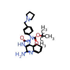 CC(C)(C)OC(=O)N(c1ccc(CN2CCCC2)cc1)n1c(=O)[nH]c2c(N)nc3ccccc3c21